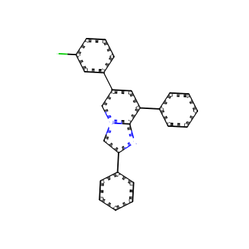 Clc1cccc(-c2cc(-c3ccccc3)c3nc(-c4ccccc4)cn3c2)c1